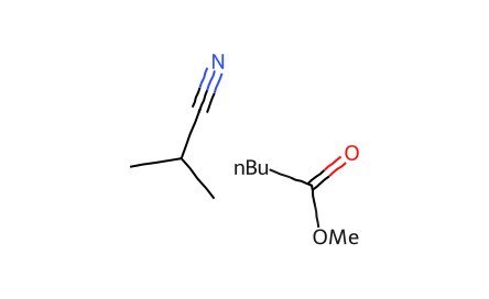 CC(C)C#N.CCCCC(=O)OC